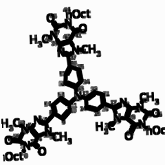 CCCCCCCCn1c(=O)c2c(nc(-c3ccc(N(c4ccc(-c5nc6c(c(=O)n(CCCCCCCC)c(=O)n6C)n5C)cc4)c4ccc(-c5nc6c(c(=O)n(CCCCCCCC)c(=O)n6C)n5C)cc4)cc3)n2C)n(C)c1=O